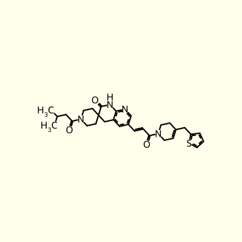 CC(C)CC(=O)N1CCC2(CC1)Cc1cc(/C=C/C(=O)N3CC=C(Cc4cccs4)CC3)cnc1NC2=O